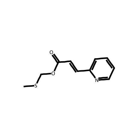 CSCOC(=O)C=Cc1ccccn1